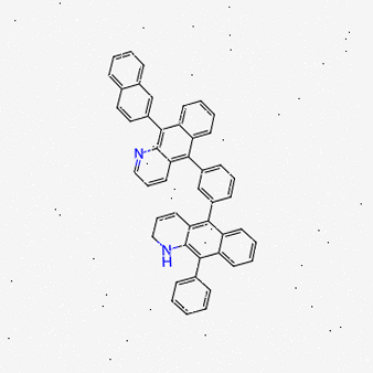 C1=Cc2c(c(-c3ccccc3)c3ccccc3c2-c2cccc(-c3c4ccccc4c(-c4ccc5ccccc5c4)c4ncccc34)c2)NC1